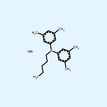 Br.CCCCCP(c1cc(C)cc(C)c1)c1cc(C)cc(C)c1